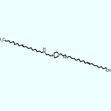 CCCCCCCCC=CCCCCCCCCNCCCN1CCN(CCCNCCCCCCCCC=CCCCCCCCC)CC1